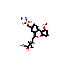 COc1cccc2c1-c1ccc(CS(N)(=O)=O)cc1C(CCC(C)(C)C(=O)O)O2